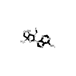 C[C@]1(CO)O[C@@H](n2cnc3c(N)ncnc32)[C@@H](CF)[C@@H]1O